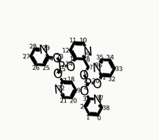 c1ccc(OP(OCc2ncccc2OP(Oc2ccccn2)Oc2ccccn2)Oc2ccccn2)nc1